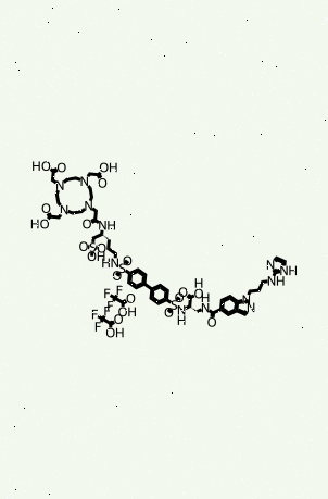 O=C(O)C(F)(F)F.O=C(O)C(F)(F)F.O=C(O)CN1CCN(CC(=O)O)CCN(CC(=O)N[C@H](CCCNS(=O)(=O)c2ccc(-c3ccc(S(=O)(=O)N[C@@H](CNC(=O)c4ccc5c(cnn5CCCNc5ncc[nH]5)c4)C(=O)O)cc3)cc2)CS(=O)(=O)O)CCN(CC(=O)O)CC1